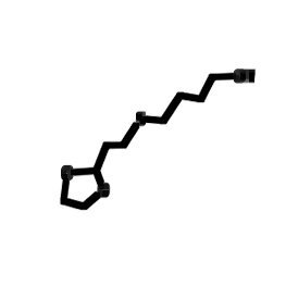 OCCCCSCCC1OCCO1